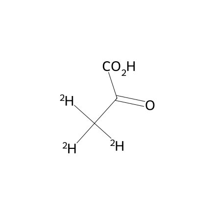 [2H]C([2H])([2H])C(=O)C(=O)O